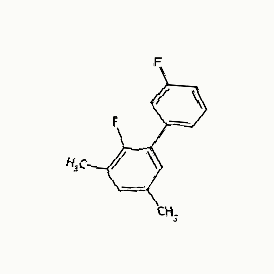 Cc1cc(C)c(F)c(-c2cccc(F)c2)c1